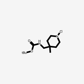 CC1(CNC(=O)OC(C)(C)C)CCN(Cl)CC1